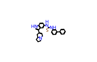 S=C(Nc1cccc(-c2ccccc2)c1)Nc1ccc2[nH]cc(C3=CCN4CCCC4C3)c2c1